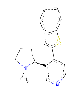 CN1CCC[C@H]1c1cnccc1-c1cc2ccccc2s1